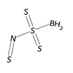 BS(=S)(=S)N=S